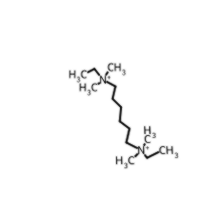 CC[N+](C)(C)CCCCCC[N+](C)(C)CC